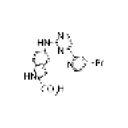 CC(C)c1ccnc(-c2ccnc(Nc3ccc4[nH]c(C(=O)O)cc4c3)n2)c1